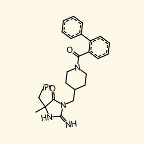 CC(C)CC1(C)NC(=N)N(CC2CCN(C(=O)c3ccccc3-c3ccccc3)CC2)C1=O